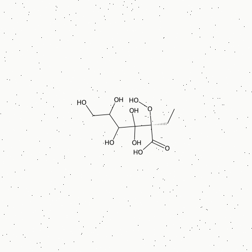 CC[C@](OO)(C(=O)O)C(O)(O)C(O)C(O)CO